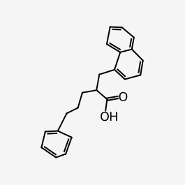 O=C(O)C(CCCc1ccccc1)Cc1cccc2ccccc12